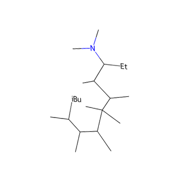 CCC(C)C(C)C(C)C(C)C(C)(C)C(C)C(C)C(CC)N(C)C